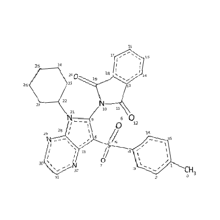 Cc1ccc(S(=O)(=O)c2c(N3C(=O)c4ccccc4C3=O)n(C3CCCCC3)c3nccnc23)cc1